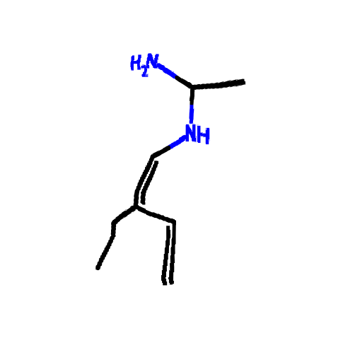 C=C/C(=C\NC(C)N)CC